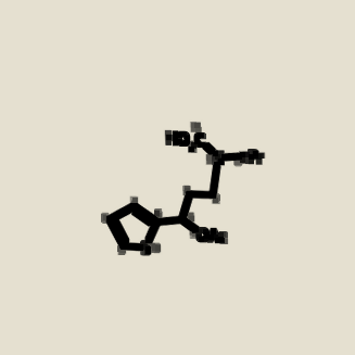 CCCN(CCC(OC(C)=O)c1cccs1)C(=O)O